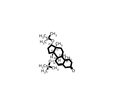 C[C@]12CC[C@H]3[C@@H]([C@@H](O[Si](C)(C)C)C=C4CC(=O)CC[C@@]43C)[C@@H]1CC[C@@H]2O[Si](C)(C)C